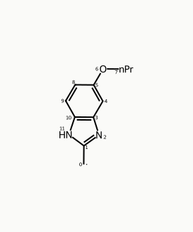 [CH2]c1nc2cc(OCCC)ccc2[nH]1